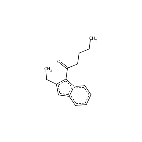 [CH2]CCCC(=O)c1c(CC)cc2ccccn12